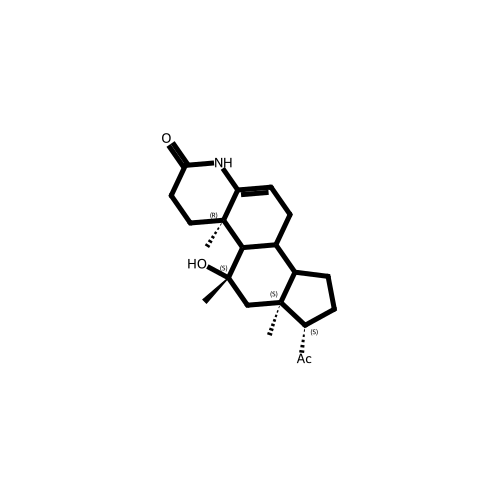 CC(=O)[C@H]1CCC2C3CC=C4NC(=O)CC[C@]4(C)C3[C@@](C)(O)C[C@@]21C